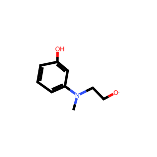 CN(CC[O])c1cccc(O)c1